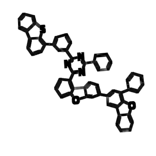 c1ccc(-c2nc(-c3cccc(-c4cccc5c4sc4ccccc45)c3)nc(-c3cccc4oc5cc(-c6cc(-c7ccccc7)c7oc8ccccc8c7c6)ccc5c34)n2)cc1